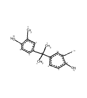 Cc1cc(C(C)(C)c2ccc(O)c(I)c2)ccc1O